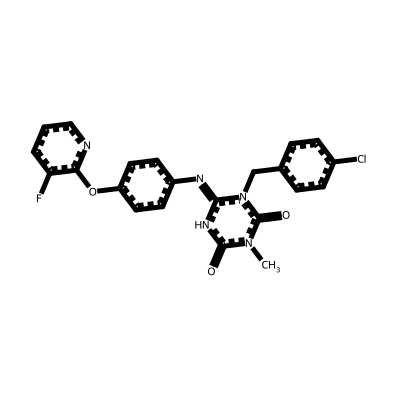 Cn1c(=O)[nH]/c(=N\c2ccc(Oc3ncccc3F)cc2)n(Cc2ccc(Cl)cc2)c1=O